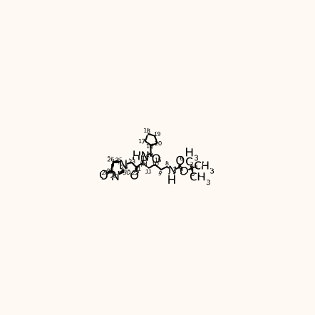 CC(C)(C)OC(=O)NCCCC[C@H](NC(=O)C1CCCC1)C(=O)Cn1ccc(=O)nc1